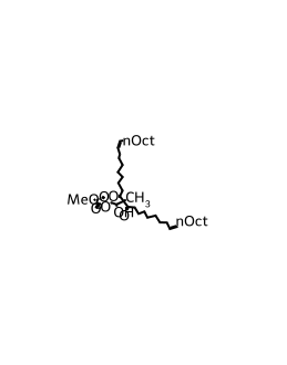 CCCCCCCC/C=C\CCCCCCCC(=O)C(C)(C(=O)CCCCCCC/C=C\CCCCCCCC)C(O)COS(=O)(=O)OC